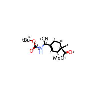 COC(=O)C1(C)CC=C(C(C#N)NC(=O)OC(C)(C)C)CC1